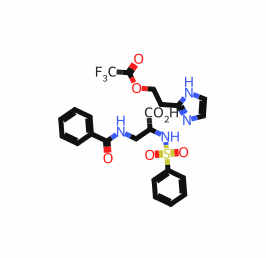 O=C(NCC(NS(=O)(=O)c1ccccc1)C(=O)O)c1ccccc1.O=C(OCCc1ncc[nH]1)C(F)(F)F